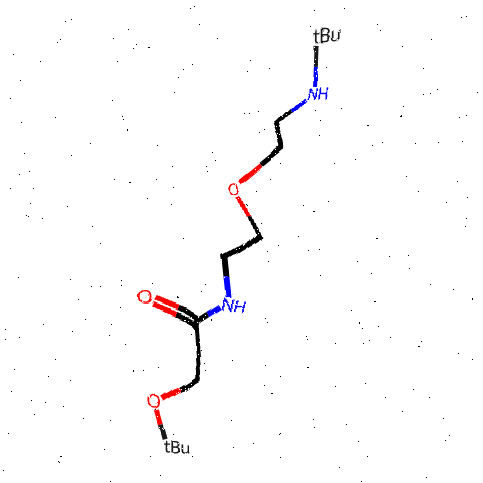 CC(C)(C)NCCOCCNC(=O)COC(C)(C)C